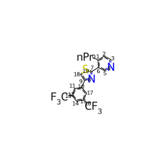 CCCc1ccncc1-c1nc(-c2cc(C(F)(F)F)cc(C(F)(F)F)c2)cs1